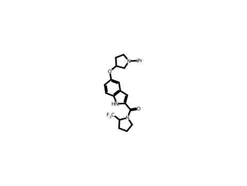 CC(C)N1CCC(Oc2ccc3[nH]c(C(=O)N4CCCC4C(F)(F)F)cc3c2)C1